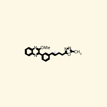 COc1nc2ccccc2nc1-c1cccc(/C=C/CCc2nnc(C)o2)c1